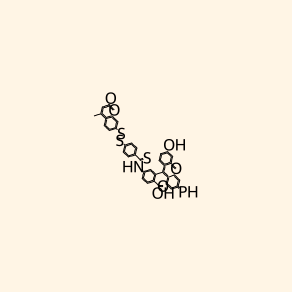 Cc1cc(=O)oc2cc(SSc3ccc(C(=S)Nc4ccc(C(=O)O)c(-c5c6ccc(=P)cc-6oc6cc(O)ccc56)c4)cc3)ccc12